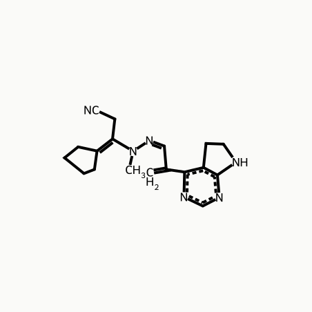 C=C(/C=N\N(C)C(CC#N)=C1CCCC1)c1ncnc2c1CCN2